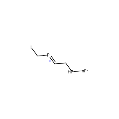 CCCPC/C=P/CI